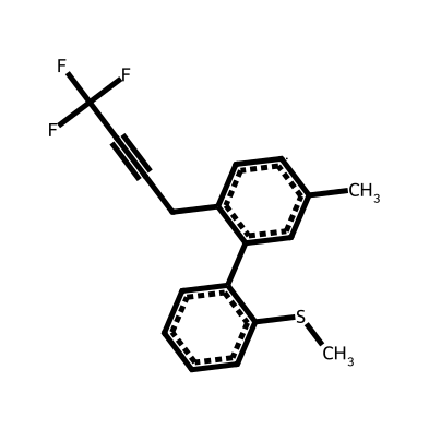 CSc1ccccc1-c1cc(C)[c]cc1CC#CC(F)(F)F